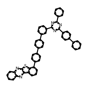 c1ccc(-c2ccc(-c3nc(-c4ccccc4)nc(-c4cccc(-c5ccc(-c6ccc(-c7cccc8c7sc7nc9ccccc9nc78)cc6)cc5)c4)n3)cc2)cc1